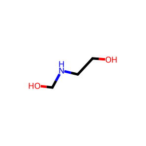 OCCNCO